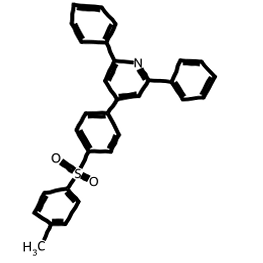 Cc1ccc(S(=O)(=O)c2ccc(-c3cc(-c4ccccc4)nc(-c4ccccc4)c3)cc2)cc1